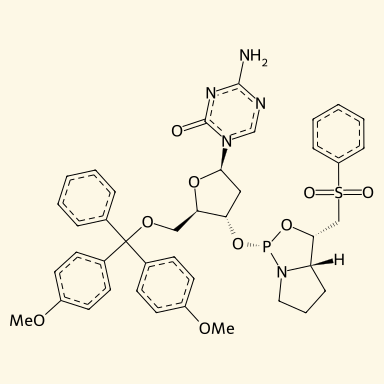 COc1ccc(C(OC[C@H]2O[C@@H](n3cnc(N)nc3=O)C[C@@H]2O[P@]2O[C@H](CS(=O)(=O)c3ccccc3)[C@@H]3CCCN32)(c2ccccc2)c2ccc(OC)cc2)cc1